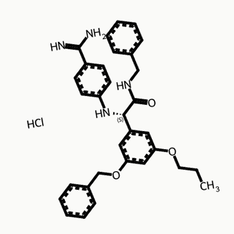 CCCOc1cc(OCc2ccccc2)cc([C@H](Nc2ccc(C(=N)N)cc2)C(=O)NCc2ccccc2)c1.Cl